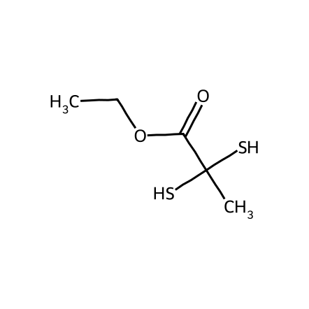 CCOC(=O)C(C)(S)S